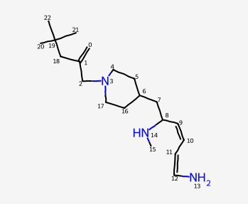 C=C(CN1CCC(CC(/C=C\C=C/N)NC)CC1)CC(C)(C)C